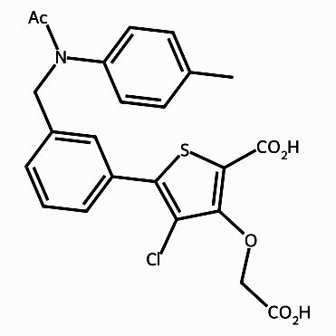 CC(=O)N(Cc1cccc(-c2sc(C(=O)O)c(OCC(=O)O)c2Cl)c1)c1ccc(C)cc1